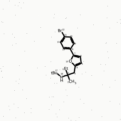 CCC(C)(Cc1ccc(-c2ccc(Br)cc2)o1)NC(C)(C)C